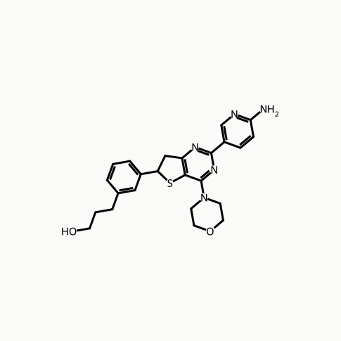 Nc1ccc(-c2nc3c(c(N4CCOCC4)n2)SC(c2cccc(CCCO)c2)C3)cn1